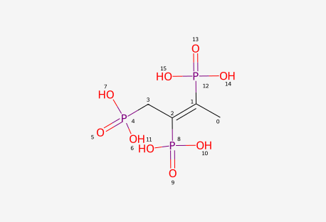 C/C(=C(/CP(=O)(O)O)P(=O)(O)O)P(=O)(O)O